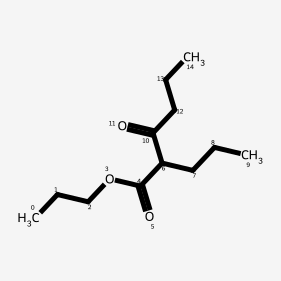 CCCOC(=O)C(CCC)C(=O)CCC